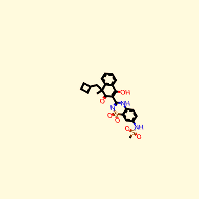 CC1(CC2CCC2)C(=O)C(C2=NS(=O)(=O)c3cc(NS(C)(=O)=O)ccc3N2)=C(O)c2ccccc21